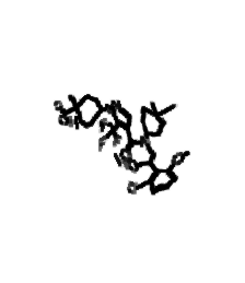 COc1cccc(Cl)c1C(O)CN(C(=O)c1cnn(C2CCC(C)(C(=O)O)CC2)c1C(F)(F)F)C1CCC(C)(C)CC1